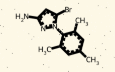 Cc1cc(C)c(-n2nc(N)cc2Br)c(C)c1